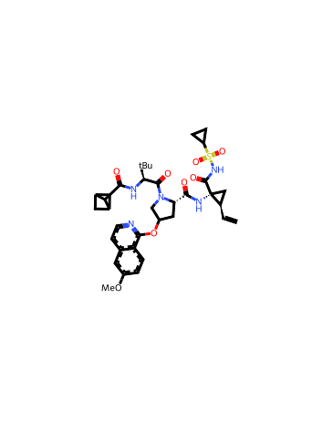 C=C[C@@H]1C[C@]1(NC(=O)[C@@H]1CC(Oc2nccc3cc(OC)ccc23)CN1C(=O)[C@@H](NC(=O)C1C2CC1C2)C(C)(C)C)C(=O)NS(=O)(=O)C1CC1